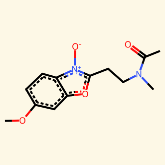 COc1ccc2c(c1)oc(CCN(C)C(C)=O)[n+]2[O-]